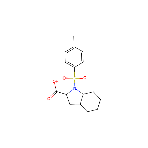 Cc1ccc(S(=O)(=O)N2C(C(=O)O)CC3CCCCC32)cc1